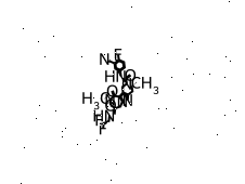 C[C@@H]1Cc2nn3c(c2CN1C(=O)Nc1ccc(F)c(C#N)c1)C(=O)N(C)OC(CNCC(F)F)C3